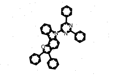 c1ccc(-c2cc(-n3c4ccccc4c4c5oc(-c6ccccc6)c(-c6ccccc6)c5ccc43)nc(-c3ccccc3)n2)cc1